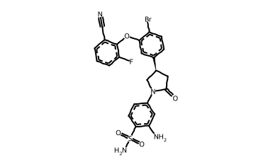 N#Cc1cccc(F)c1Oc1cc([C@H]2CC(=O)N(c3ccc(S(N)(=O)=O)c(N)c3)C2)ccc1Br